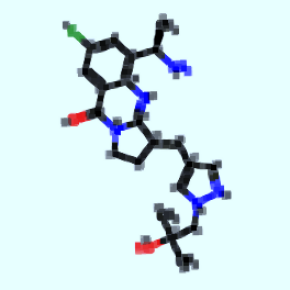 C[C@@H](N)c1cc(F)cc2c(=O)n3c(nc12)C(=Cc1cnn(CC(C)(C)O)c1)CC3